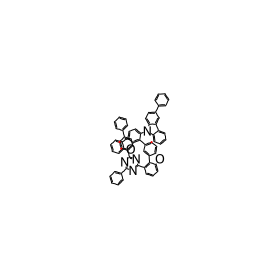 c1ccc(-c2ccc(-c3nc(-c4ccccc4)nc(-c4cccc5oc6ccc(-c7c(-n8c9ccccc9c9cc(-c%10ccccc%10)ccc98)ccc8c7oc7ccccc78)cc6c45)n3)cc2)cc1